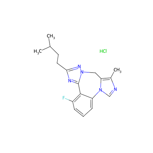 Cc1ncn2c1Cn1nc(CCC(C)C)nc1-c1c(F)cccc1-2.Cl